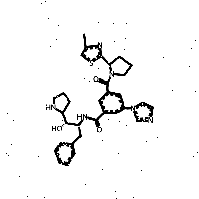 Cc1csc(C2CCCN2C(=O)c2cc(C(=O)N[C@@H](Cc3ccccc3)[C@H](O)C3CCCN3)cc(-n3ccnc3)c2)n1